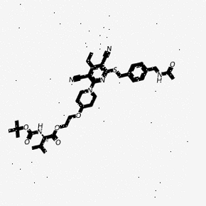 CCc1c(C#N)c(SCc2ccc(CNC(C)=O)cc2)nc(N2CCC(OCCOC(=O)[C@@H](NC(=O)OC(C)(C)C)C(C)C)CC2)c1C#N